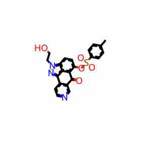 Cc1ccc(S(=O)(=O)Oc2ccc3c4c(nn3CCO)-c3ccncc3C(=O)c24)cc1